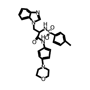 Cc1ccc(S(=O)(=O)NC(Cn2cnc3ccccc32)C(=O)Nc2ccc(N3CCOCC3)cc2)cc1